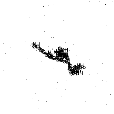 CNC(=O)CCOCCOCCOCCOCCn1cc(COCCOCCOCCOCCN(CCOCCN(C)C(=O)O[C@@H]([C@@H]2OC(C(=O)O)=C[C@H](NC(=N)N)[C@H]2C)[C@H](O)CO)CCOCCN(C)C(=O)O[C@@H]([C@@H]2OC(C(=O)O)=C[C@H](NC(=N)N)[C@H]2NC(C)=O)[C@H](O)CO)nn1